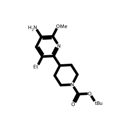 CCc1cc(N)c(OC)nc1C1CCN(C(=O)OC(C)(C)C)CC1